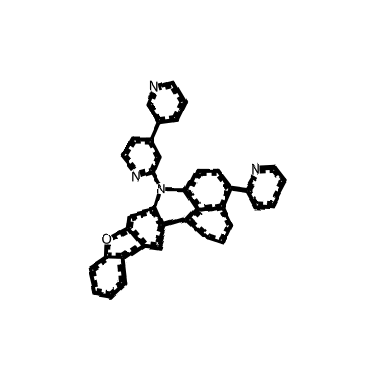 c1ccc(-c2ccc3c4c(cccc24)-c2cc4c(cc2N3c2cc(-c3cccnc3)ccn2)oc2ccccc24)nc1